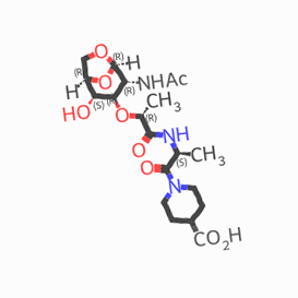 CC(=O)N[C@H]1[C@@H]2OC[C@@H](O2)[C@@H](O)[C@@H]1O[C@H](C)C(=O)N[C@@H](C)C(=O)N1CCC(C(=O)O)CC1